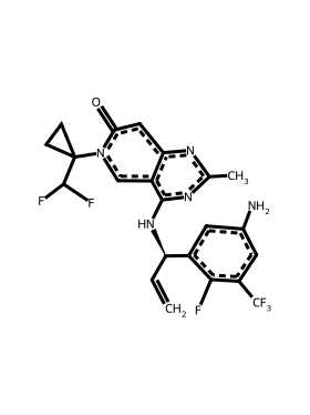 C=C[C@@H](Nc1nc(C)nc2cc(=O)n(C3(C(F)F)CC3)cc12)c1cc(N)cc(C(F)(F)F)c1F